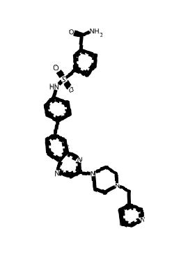 NC(=O)c1cccc(S(=O)(=O)Nc2ccc(-c3ccc4ncc(N5CCN(Cc6cccnc6)CC5)nc4c3)cc2)c1